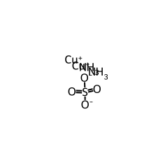 N.N.O=S(=O)([O-])[O-].[Cu+].[Cu+]